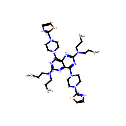 COCCN(CCOC)c1nc(N2CCN(c3nccs3)CC2)c2nc(N(CCOC)CCOC)nc(N3CCN(c4nccs4)CC3)c2n1